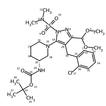 COC(OC)c1nn(S(=O)(=O)N(C)C)c(N2CCC[C@@H](NC(=O)OC(C)(C)C)C2)c1Cc1ccccc1Cl